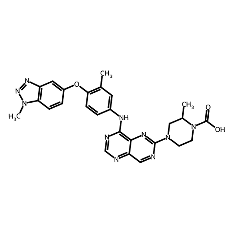 Cc1cc(Nc2ncnc3cnc(N4CCN(C(=O)O)C(C)C4)nc23)ccc1Oc1ccc2c(c1)nnn2C